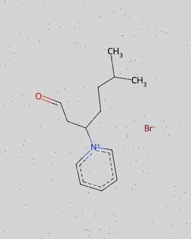 CC(C)CCC(CC=O)[n+]1ccccc1.[Br-]